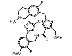 COCc1nn(Cc2cc3c(cc2F)CCN(C)C3)cc1C(=O)NCc1c(-n2cc(C)nn2)ccc(OC)c1F